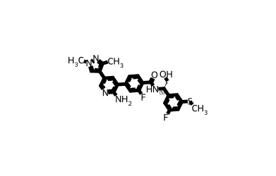 CSc1cc(F)cc([C@@H](CO)NC(=O)c2ccc(-c3cc(-c4cn(C)nc4C)cnc3N)cc2F)c1